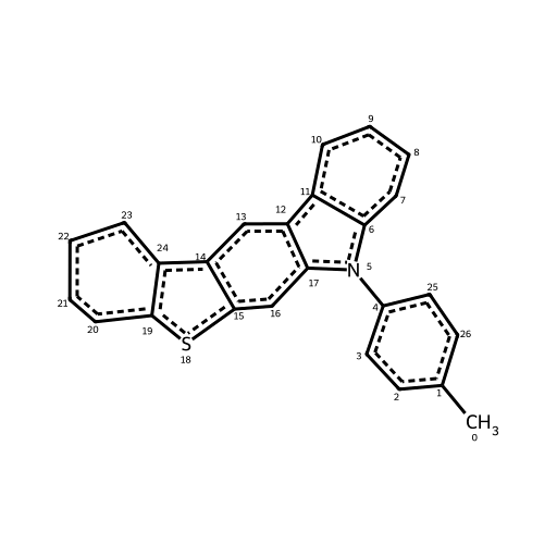 Cc1ccc(-n2c3ccccc3c3cc4c(cc32)sc2ccccc24)cc1